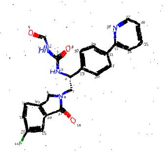 O=CNC(=O)N[C@@H](CN1Cc2ccc(F)cc2C1=O)c1ccc(-c2ccccn2)cc1